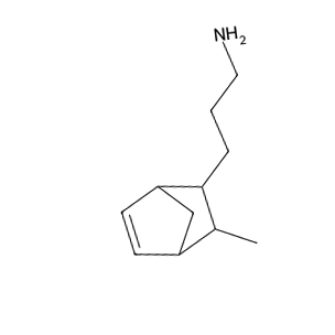 CC1C2C=CC(C2)C1CCCN